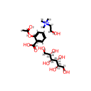 CC(=O)Oc1ccccc1C(=O)O.C[N+](C)(C)CCO.OC[C@@H](O)[C@@H](O)[C@H](O)[C@@H](O)CO